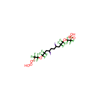 O=S(=O)(O)C(F)(F)C(F)(F)OC(F)(F)C(F)(F)CC(I)CCC(I)CC(F)(F)C(F)(F)OC(F)(F)C(F)(F)SOOO